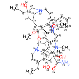 CCC1=CCN2CC[C@]34c5cc([C@@]6(C(=O)OC)CC7CN(CCc8c6[nH]c6ccccc86)CC(O)(CC)C7)c(OC)cc5N(C)[C@H]3C(O)(C(N)=O)[C@H](O)C1[C@H]24